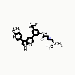 COc1ccc(-c2c[nH]c3ncc(-c4cc(NC(=O)/C=C/CN(C)C)cc(C(F)(F)F)c4)cc23)cn1